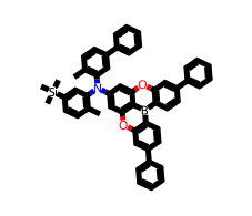 Cc1ccc(-c2ccccc2)cc1N(c1cc2c3c(c1)Oc1cc(-c4ccccc4)ccc1B3c1ccc(-c3ccccc3)cc1O2)c1cc([Si](C)(C)C)ccc1C